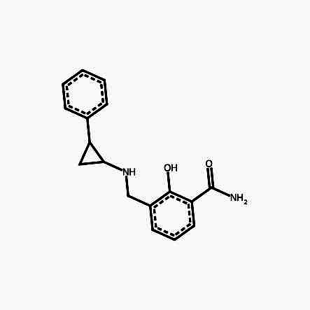 NC(=O)c1cccc(CNC2CC2c2ccccc2)c1O